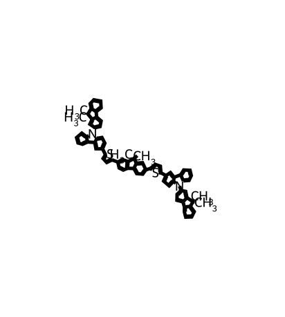 CC1(C)c2cc(-c3ccc(-c4ccc5c(c4)c4ccccc4n5-c4ccc5c(c4)C(C)(C)c4ccccc4-5)s3)ccc2-c2ccc(-c3ccc(-c4ccc5c(c4)c4ccccc4n5-c4ccc5c(c4)C(C)(C)c4ccccc4-5)s3)cc21